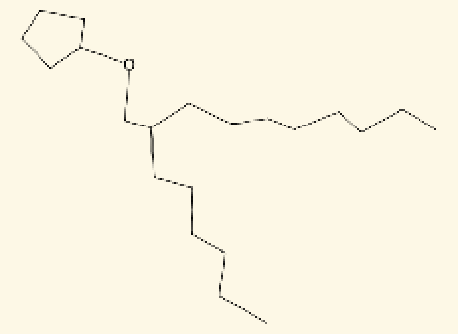 CCCCCCCCC(CCCCCC)COC1CCCC1